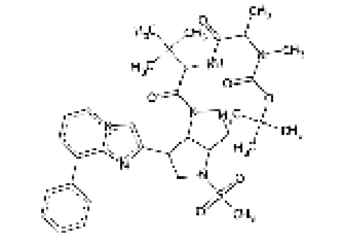 CC(C(=O)NC(C(=O)N1CCC2C1C(c1cn3cccc(-c4ccccc4)c3n1)CN2S(C)(=O)=O)C(C)(C)C)N(C)C(=O)OC(C)(C)C